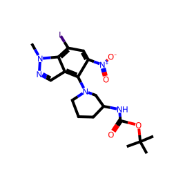 Cn1ncc2c(N3CCCC(NC(=O)OC(C)(C)C)C3)c([N+](=O)[O-])cc(I)c21